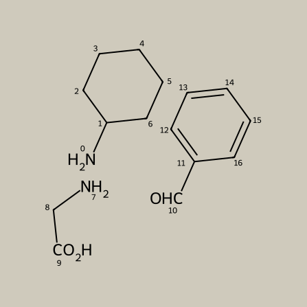 NC1CCCCC1.NCC(=O)O.O=Cc1ccccc1